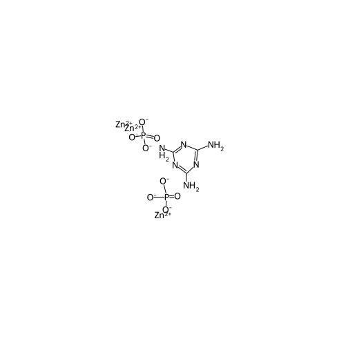 Nc1nc(N)nc(N)n1.O=P([O-])([O-])[O-].O=P([O-])([O-])[O-].[Zn+2].[Zn+2].[Zn+2]